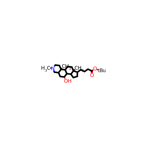 CN1CCC2(C)C(C[C@H](O)C3C4CCC(CCCC(=O)OC(C)(C)C)C4(C)CCC32)C1